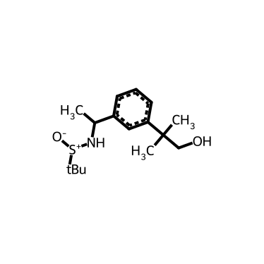 CC(N[S+]([O-])C(C)(C)C)c1cccc(C(C)(C)CO)c1